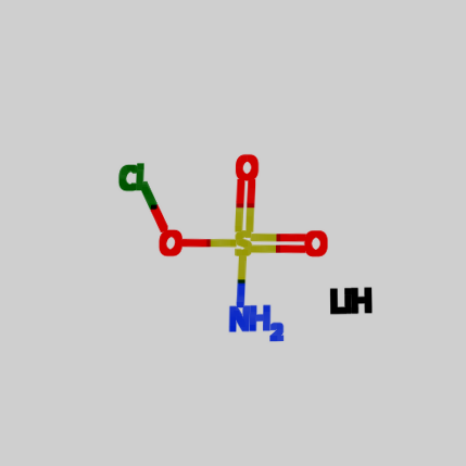 NS(=O)(=O)OCl.[LiH]